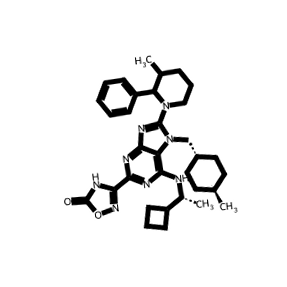 CC1CCCN(c2nc3nc(-c4noc(=O)[nH]4)nc(N[C@H](C)C4CCC4)c3n2C[C@H]2CC[C@H](C)CC2)C1c1ccccc1